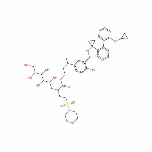 CC(CCCC(=O)N(CCS(=O)(=O)N1CCOCC1)CC(O)C(O)C(O)C(O)CO)c1ccc(Cl)c(CNC2(c3cnccc3-c3ccccc3OC3CC3)CC2)c1